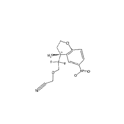 N#CCOCC(F)(F)[C@]1(N)CCOc2ccc([N+](=O)[O-])cc21